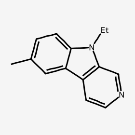 CCn1c2ccc(C)cc2c2ccncc21